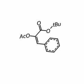 CC(=O)OC(=Cc1ccccc1)C(=O)OC(C)(C)C